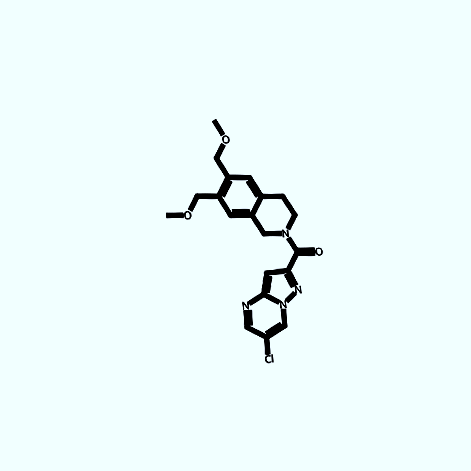 COCc1cc2c(cc1COC)CN(C(=O)c1cc3ncc(Cl)cn3n1)CC2